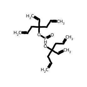 C=CCC(C=C)(CC=C)O[PH](=O)OC(C=C)(CC=C)CC=C